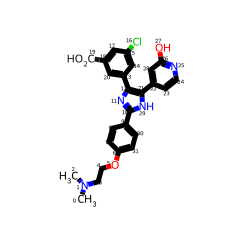 CN(C)CCOc1ccc(-c2nc(-c3cc(Cl)cc(C(=O)O)c3)c(-c3ccnc(O)c3)[nH]2)cc1